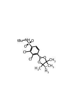 CC(C)(C)NS(=O)(=O)c1ccc(B2OC(C)(C)C(C)(C)O2)c(Cl)c1Cl